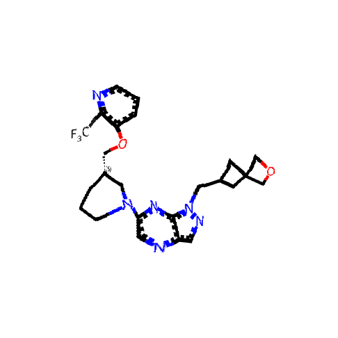 FC(F)(F)c1ncccc1OC[C@H]1CCCN(c2cnc3cnn(CC4CC5(COC5)C4)c3n2)C1